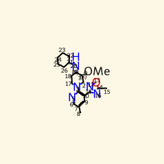 CO[C@@H]1CN(c2ncc(C)cc2-c2noc(C)n2)CC[C@@H]1NC1CCCCC1